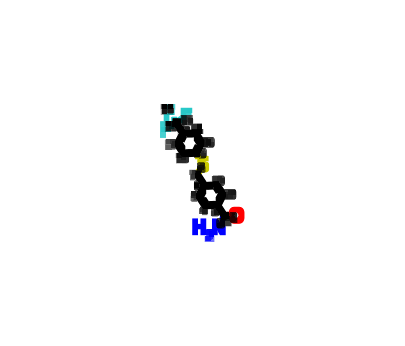 NC(=O)c1ccc(CSc2ccc(C(F)(F)F)cc2)cc1